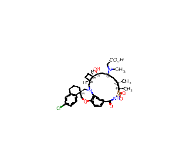 C[C@@H]1[C@@H](C)C[C@H](N(C)CC(=O)O)C[C@H](O)[C@@H]2CC[C@H]2CN2C[C@@]3(CCCc4cc(Cl)ccc43)COc3ccc(cc32)C(=O)NS1(=O)=O